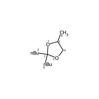 CCCCC1(CCCC)OCC(C)O1